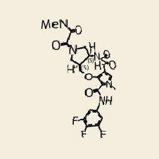 CNC(=O)C(=O)N1C[C@@H]2COc3c(cn(C)c3C(=O)Nc3cc(F)c(F)c(F)c3)S(=O)(=O)N[C@@H]2C1